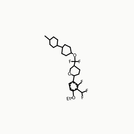 CCOc1ccc(C2CCC(C(F)(F)OC3CCC(C4CCC(C)CC4)CC3)CO2)c(F)c1C(F)F